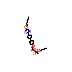 CCCCCCOc1cnc(-c2ccc(-c3ccc(OC[C@@H](C)OC(=O)C(C)OCCCCC)cc3)cc2)nc1